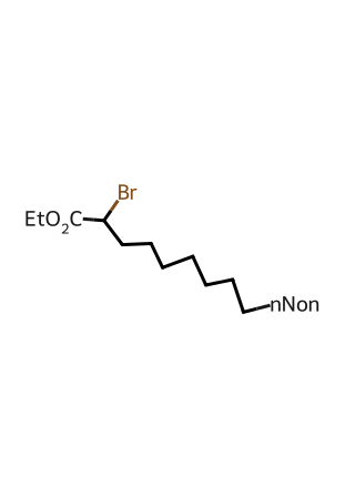 CCCCCCCCCCCCCCCCC(Br)C(=O)OCC